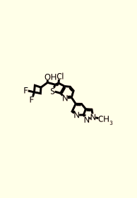 Cn1cc2cc(-c3ccc4c(Cl)c(C(O)C5CC(F)(F)C5)sc4n3)cnc2n1